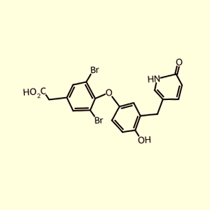 O=C(O)Cc1cc(Br)c(Oc2ccc(O)c(Cc3ccc(=O)[nH]c3)c2)c(Br)c1